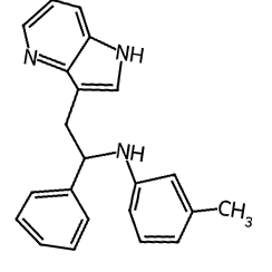 Cc1cccc(NC(Cc2c[nH]c3cccnc23)c2ccccc2)c1